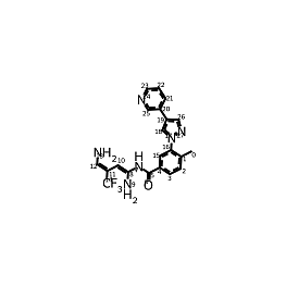 Cc1ccc(C(=O)N/C(N)=C/C(=C\N)C(F)(F)F)cc1-n1cc(-c2cccnc2)cn1